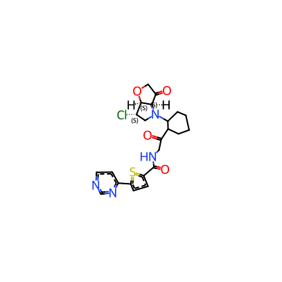 O=C(NCC(=O)C1CCCCC1N1C[C@H](Cl)[C@H]2OCC(=O)[C@H]21)c1ccc(-c2ccncn2)s1